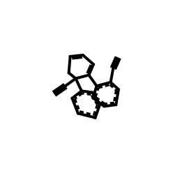 C#Cc1ccccc1C1=CC=CCC1(C#C)c1ccccc1